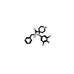 O=C(NCc1ccccc1)C1(Nc2cc(F)c(F)c(F)c2)CCNCC1